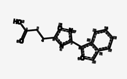 O=C(O)CCc1nc(-c2occ3ccccc23)no1